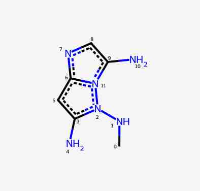 CNn1c(N)cc2ncc(N)n21